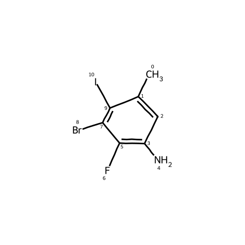 Cc1cc(N)c(F)c(Br)c1I